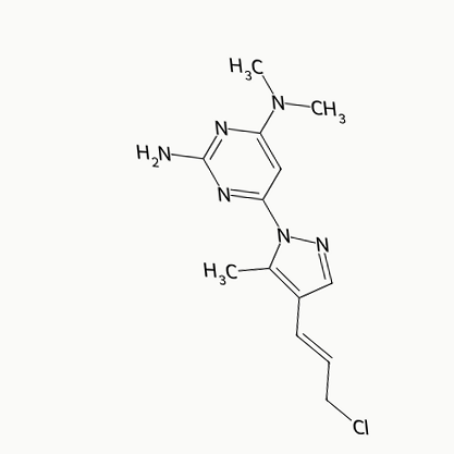 Cc1c(C=CCCl)cnn1-c1cc(N(C)C)nc(N)n1